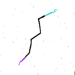 FCCCCI